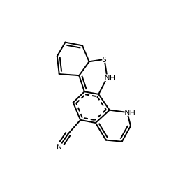 N#Cc1cc2c(c3c1=CC=CN3)NSC1C=CC=CC=21